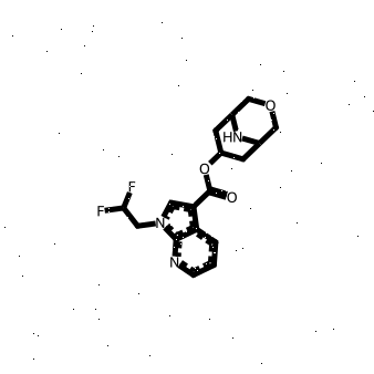 O=C(OC1CC2COCC(C1)N2)c1cn(CC(F)F)c2ncccc12